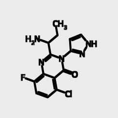 CCC(N)c1nc2c(F)ccc(Cl)c2c(=O)n1-c1cc[nH]n1